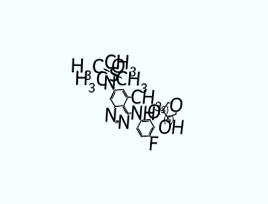 Cc1cc(N=S(C)(=O)C(C)(C)C)cc2ncnc(Nc3ccc(F)cc3O[C@H]3COC[C@@H]3O)c12